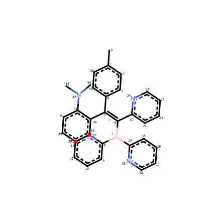 Cc1ccc(/C(=C(/B(c2ccccn2)c2ccccn2)c2ccccn2)c2ccccc2N(C)C)cc1